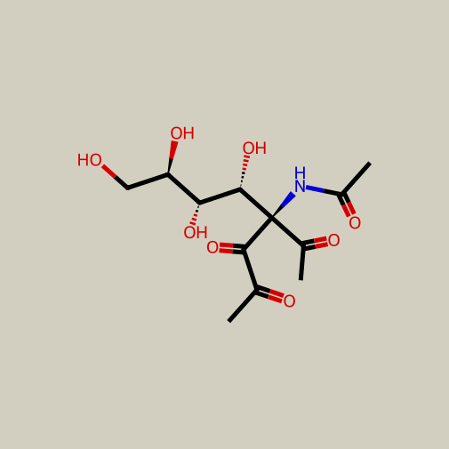 CC(=O)N[C@@](C(C)=O)(C(=O)C(C)=O)[C@@H](O)[C@H](O)[C@H](O)CO